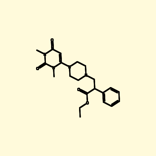 CCOC(=O)C(CN1CCN(c2cc(=O)n(C)c(=O)n2C)CC1)c1ccccc1